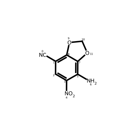 N#Cc1cc([N+](=O)[O-])c(N)c2c1OCO2